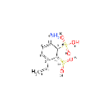 C=CC1=CC=C(N)C(S(=O)(=O)O)C1=S(=O)=O